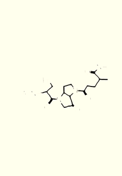 CC(=O)NC(CC(C)C)C(=O)N1CC(=O)C2C1CCN2C(=O)[CH]CC(C)C(N)=O